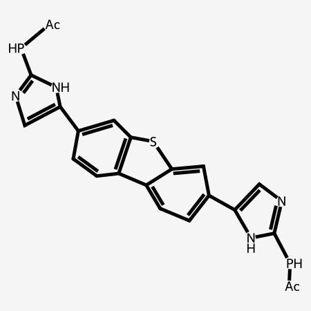 CC(=O)Pc1ncc(-c2ccc3c(c2)sc2cc(-c4cnc(PC(C)=O)[nH]4)ccc23)[nH]1